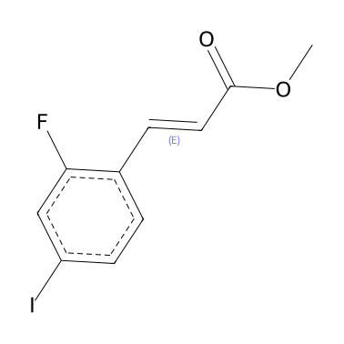 COC(=O)/C=C/c1ccc(I)cc1F